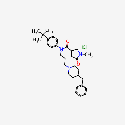 CN1CC(C(=O)N(CCCN2CCC(Cc3ccccc3)CC2)c2ccc(C(C)(C)C)cc2)CC1=O.Cl